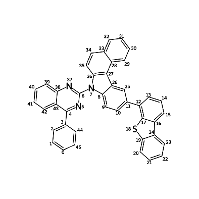 c1ccc(-c2nc(-n3c4ccc(-c5cccc6c5sc5ccccc56)cc4c4c5ccccc5ccc43)nc3ccccc23)cc1